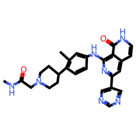 CNC(=O)CN1CCC(c2ccc(Nc3nc(-c4cncnc4)cc4cc[nH]c(=O)c34)cc2C)CC1